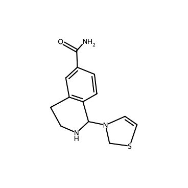 NC(=O)c1ccc2c(c1)CCNC2N1C=CSC1